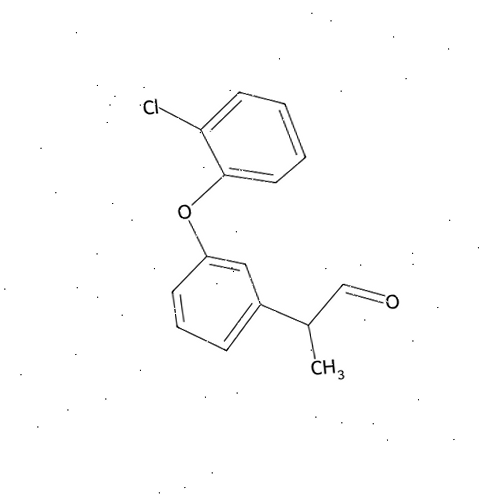 CC(C=O)c1cccc(Oc2ccccc2Cl)c1